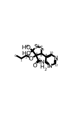 CCCOC1(C(N)=O)C(c2cncnc2)SSC1(O)O